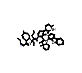 C=C(/C=C\CC)C1C=CC(C)=CC[C@H]1C(O)(CC)/C(CCC)=C(\C)c1ccc2c3c(oc2c1C1=C(C)C2(C)C=CC=CC2N1c1cccc2c1oc1ccccc12)NC(C)C=C3